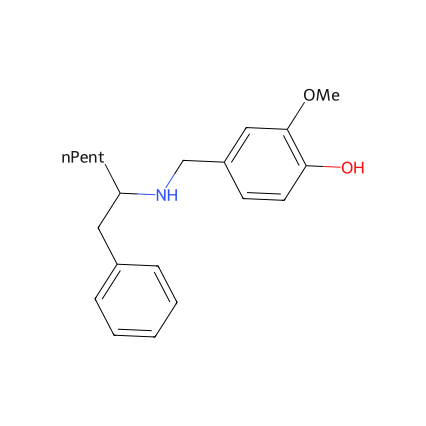 CCCCCC(Cc1ccccc1)NCc1ccc(O)c(OC)c1